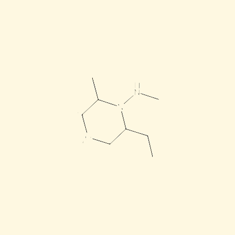 CCC1COCC(C)N1NC